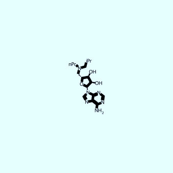 CCCN(CC(C)C)C[C@H]1O[C@@H](n2cnc3c(N)ncnc32)[C@H](O)[C@@H]1O